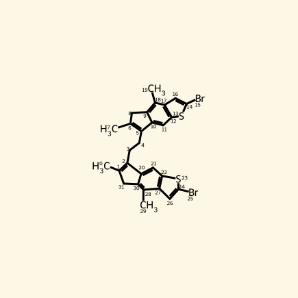 CC1=C(CCC2=C(C)Cc3c2cc2sc(Br)cc2c3C)c2cc3sc(Br)cc3c(C)c2C1